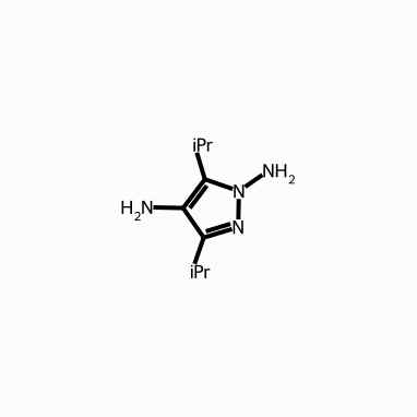 CC(C)c1nn(N)c(C(C)C)c1N